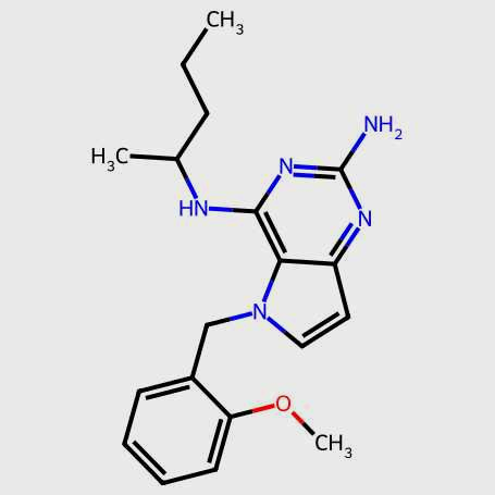 CCCC(C)Nc1nc(N)nc2ccn(Cc3ccccc3OC)c12